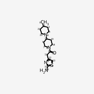 CC1CCN(C2CCN(C(=O)Cc3csc(N)n3)CC2)CC1